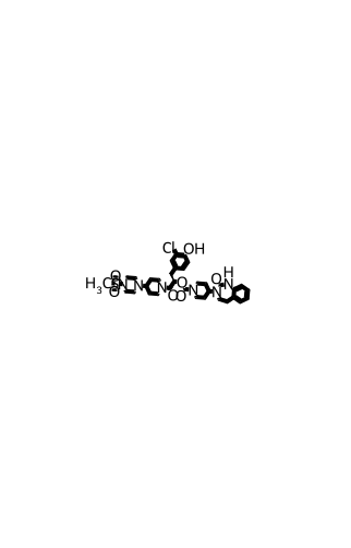 CS(=O)(=O)N1CCN(C2CCN(C(=O)[C@@H](Cc3ccc(O)c(Cl)c3)OC(=O)N3CCC(N4CCc5ccccc5NC4=O)CC3)CC2)CC1